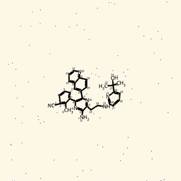 Cc1c(C#N)cccc1-c1nc(N)c(CCNc2cccc(C(C)(C)O)n2)nc1-c1ccc2ncccc2c1